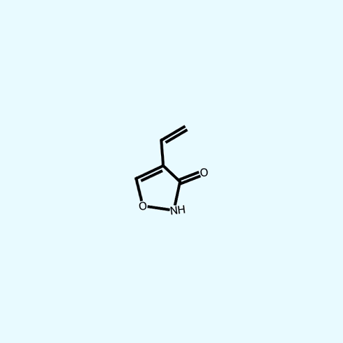 C=Cc1co[nH]c1=O